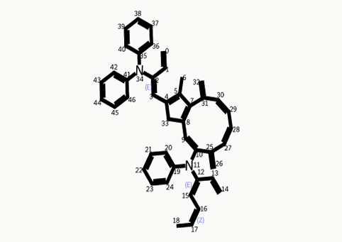 C=C/C(=C\C1=C(C)c2c(cc(N(/C(C=C)=C/C=C\C)c3ccccc3)c(=C)ccccc2=C)C1)N(c1ccccc1)c1ccccc1